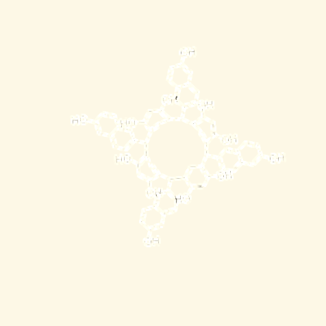 Oc1ccc2cc(C3c4cc(c(O)cc4O)C(c4ccc5cc(O)ccc5c4)c4cc(c(O)cc4O)C(c4ccc5cc(O)ccc5c4)c4cc(c(O)cc4O)C(c4ccc5cc(O)ccc5c4)c4cc3c(O)cc4O)ccc2c1